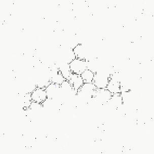 CCC(=O)CN([C@H]1CCN([C@@H](C)C(=O)OC(C)(C)C)C1=O)S(=O)(=O)/C=C/c1ccc(Cl)cc1